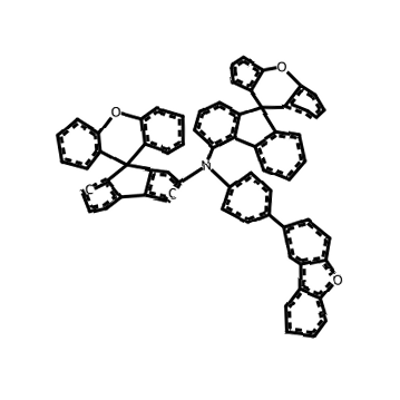 c1ccc2c(c1)Oc1ccccc1C21c2ccccc2-c2ccc(N(c3ccc(-c4ccc5oc6ccccc6c5c4)cc3)c3cccc4c3-c3ccccc3C43c4ccccc4Oc4ccccc43)cc21